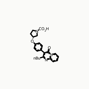 CCCCc1nc2ccccn2c(=O)c1-c1ccc(O[C@@H]2CCN(C(=O)O)C2)cc1